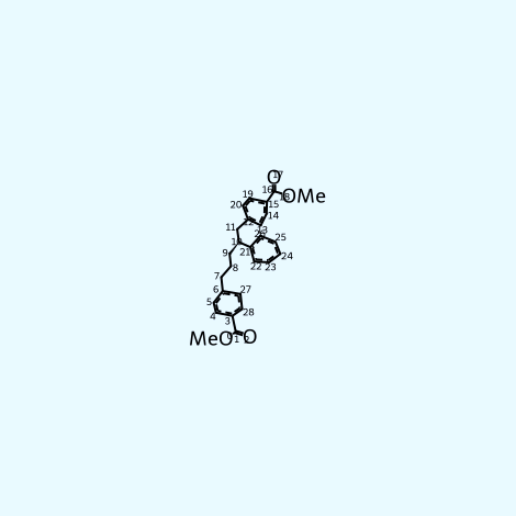 COC(=O)c1ccc(CCC[C@@H](Cc2ccc(C(=O)OC)cc2)c2ccccc2)cc1